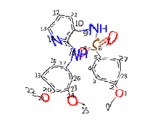 COc1ccc(S(=O)(=O)Nc2cccnc2Nc2ccc(OC)c(OC)c2)cc1